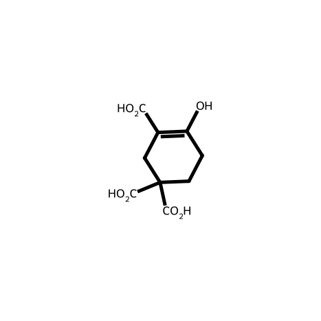 O=C(O)C1=C(O)CCC(C(=O)O)(C(=O)O)C1